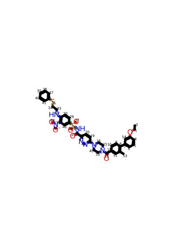 CCOc1cccc(-c2ccc(C(=O)N3CCN(c4ccc(C(=O)NS(=O)(=O)c5ccc(NCCSc6ccccc6)c([N+](=O)[O-])c5)nn4)CC3)cc2C)c1